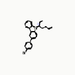 C=CCC/C(=C\C)n1c2ccccc2c2cc(-c3ccc(Br)cc3)ccc21